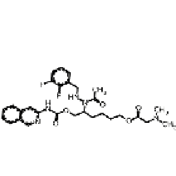 CC(=O)N(NCc1cccc(F)c1F)C(CCCCOC(=O)CN(C)C)COC(=O)Nc1cc2ccccc2cn1